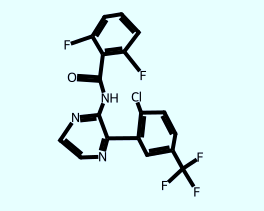 O=C(Nc1nccnc1-c1cc(C(F)(F)F)ccc1Cl)c1c(F)cccc1F